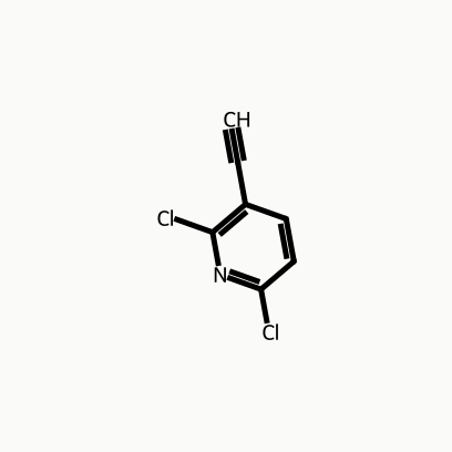 C#Cc1ccc(Cl)nc1Cl